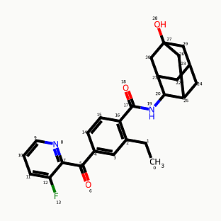 CCc1cc(C(=O)c2ncccc2F)ccc1C(=O)NC1C2CC3CC1CC(O)(C3)C2